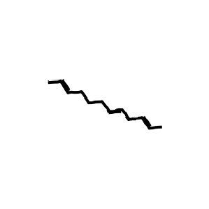 CC=CCC=CCCCC=CC